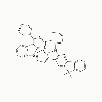 CC1(C)c2ccccc2-c2cc3c(cc21)c1ccccc1n3-c1ccccc1-c1nc(-c2ccccc2)c2c(n1)sc1ccccc12